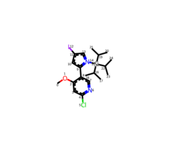 COc1cc(Cl)ncc1-c1cc(I)cn1[Si](C(C)C)(C(C)C)C(C)C